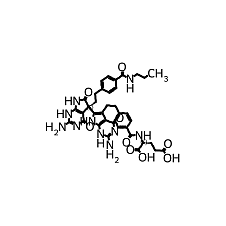 CCCNC(=O)c1ccc(CC[C@]2(c3[nH]c4[nH]c(N)nc(=O)c4c3CCc3ccc(C(=O)N[C@@H](CCC(=O)O)C(=O)O)cc3)C(=O)Nc3[nH]c(N)nc(=O)c32)cc1